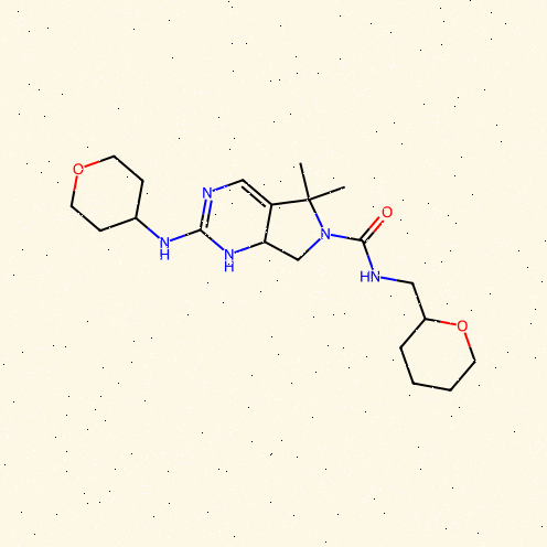 CC1(C)C2=CN=C(NC3CCOCC3)NC2CN1C(=O)NCC1CCCCO1